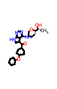 C[C@@H](O)[C@@H]1CC[C@@H](Nc2ncnc3[nH]cc(C(=O)c4ccc(Oc5ccccc5)cc4)c23)CO1